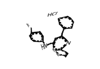 Cl.Fc1ccc(Nc2cc(-c3ccccc3)nc3ccnn23)cc1